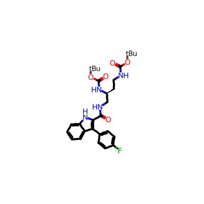 CC(C)(C)OC(=O)NCC[C@@H](CNC(=O)c1[nH]c2ccccc2c1-c1ccc(F)cc1)NC(=O)OC(C)(C)C